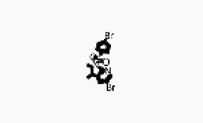 CC1c2cc(Br)cnc2N(S(=O)(=O)c2ccc(Br)cc2)C1C